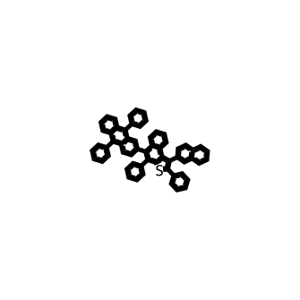 c1ccc(-c2sc3c(-c4ccccc4)c(-c4ccc5c(-c6ccccc6)c6ccccc6c(-c6ccccc6)c5c4)c4ccccc4c3c2-c2ccc3ccccc3c2)cc1